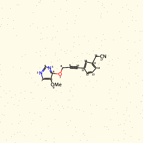 COc1cncnc1OCC#Cc1cccc(CC#N)c1